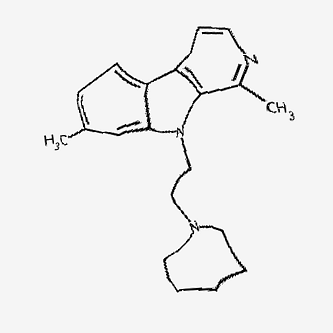 Cc1ccc2c3ccnc(C)c3n(CCN3CCCCC3)c2c1